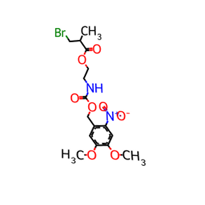 COc1cc(COC(=O)NCCOC(=O)C(C)CBr)c([N+](=O)[O-])cc1OC